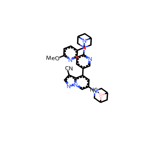 COc1ccc(CN2C3CC2CN(c2ccc(-c4cc(N5CC6CC(C5)B6C#N)cn5ncc(C#N)c45)cn2)C3)cn1